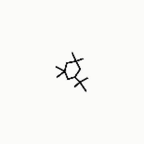 CC1(C)[CH]C(C)(C)CC(C(C)(C)C)C1